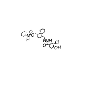 O=C(NC1CCCCC1)OCc1ccc(/C=N/NC(=O)c2ccc(O)c(Cl)c2)c2ccccc12